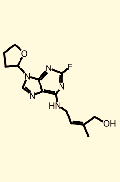 C/C(=C/CNc1nc(F)nc2c1ncn2C1CCCO1)CO